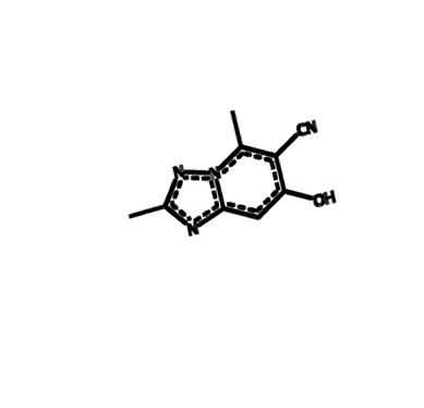 Cc1nc2cc(O)c(C#N)c(C)n2n1